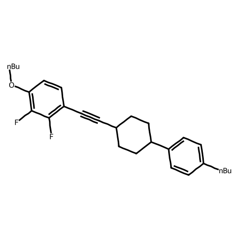 CCCCOc1ccc(C#CC2CCC(c3ccc(CCCC)cc3)CC2)c(F)c1F